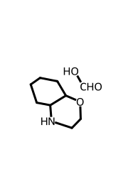 C1CCC2OCCNC2C1.O=CO